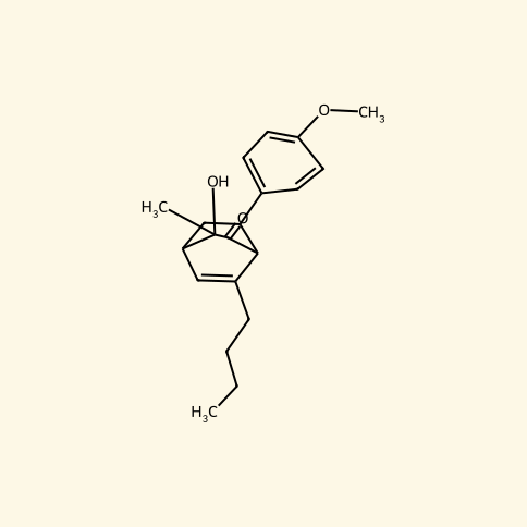 CCCCC1=CC2CC(c3ccc(OC)cc3)C1C(=O)C2(C)O